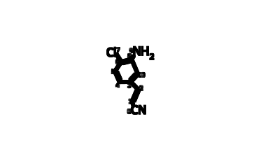 N#C/C=C/c1ccc(Cl)c(N)c1